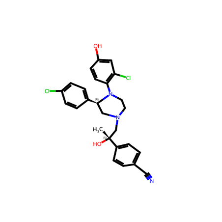 C[C@@](O)(CN1CCN(c2ccc(O)cc2Cl)[C@H](c2ccc(Cl)cc2)C1)c1ccc(C#N)cc1